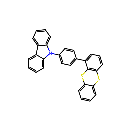 c1ccc2c(c1)Sc1cccc(-c3ccc(-n4c5ccccc5c5ccccc54)cc3)c1S2